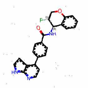 O=C(N[C@@H]1c2ccccc2OC[C@H]1F)c1ccc(-c2ccnc3[nH]ccc23)cc1